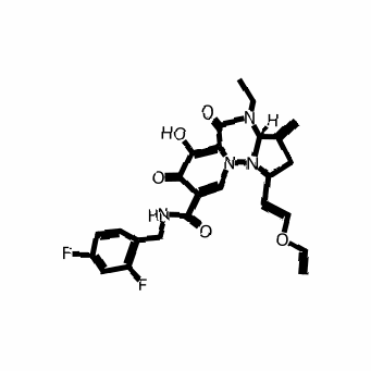 C=CO/C=C/C1CC(=C)[C@H]2N(CC)C(=O)c3c(O)c(=O)c(C(=O)NCc4ccc(F)cc4F)cn3N12